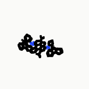 CC(C)c1cc(N(c2ccccc2)c2cccc3c2[Si](C)(C)c2ccccc2-3)c2c3ccccc3c3c(C(C)C)cc(N4c5ccccc5[Si]5(C)c6ccccc6-c6cccc4c65)c4ccc1c2c43